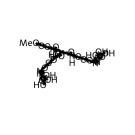 COCCOCCOCCNC(=O)CCC(CCCCC(=O)NCCOCCOCCOCc1cn([C@H]2CO[C@H](CO)[C@H](O)[C@@H]2O)nn1)C(=O)NCCOCCOCCOCc1cn([C@H]2CO[C@H](CO)[C@H](O)[C@@H]2O)nn1